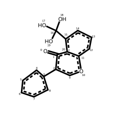 O=c1c(-c2ccccc2)coc2cccc(C(O)(O)O)c12